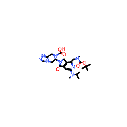 CC(C)N(C)c1cc2c(c(CN(C)C(=O)OC(C)(C)C)n1)CN(C1Cn3cnnc3CN1C(=O)O)C2=O